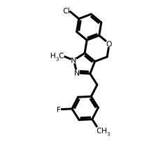 Cc1cc(F)cc(Cc2nn(C)c3c2COc2ccc(Cl)cc2-3)c1